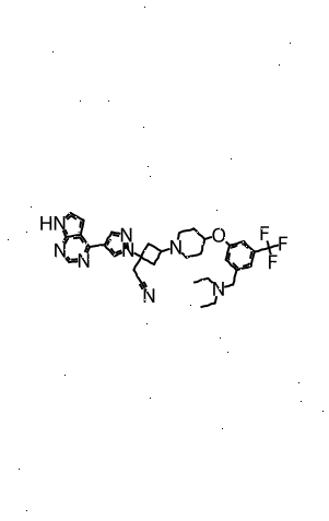 CCN(CC)Cc1cc(OC2CCN(C3CC(CC#N)(n4cc(-c5ncnc6[nH]ccc56)cn4)C3)CC2)cc(C(F)(F)F)c1